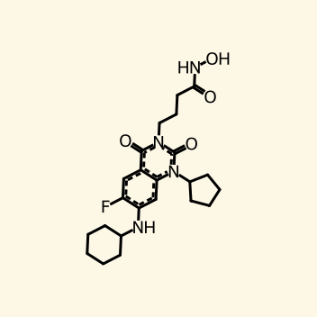 O=C(CCCn1c(=O)c2cc(F)c(NC3CCCCC3)cc2n(C2CCCC2)c1=O)NO